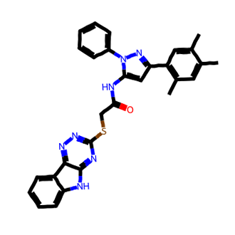 Cc1cc(C)c(-c2cc(NC(=O)CSc3nnc4c(n3)[nH]c3ccccc34)n(-c3ccccc3)n2)cc1C